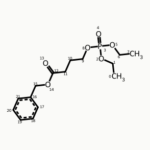 CCOP(=O)(OCC)OCCCC(=O)OCc1ccccc1